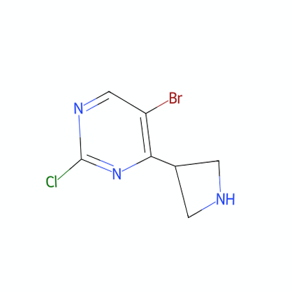 Clc1ncc(Br)c(C2CNC2)n1